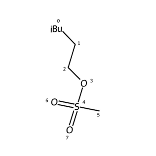 CCC(C)CCOS(C)(=O)=O